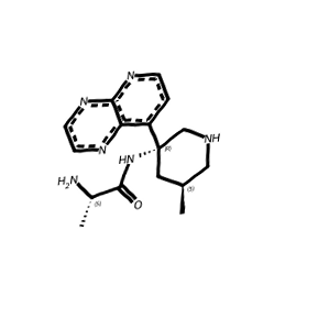 C[C@@H]1CNC[C@](NC(=O)[C@H](C)N)(c2ccnc3nccnc23)C1